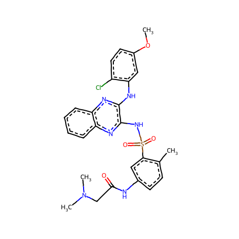 COc1ccc(Cl)c(Nc2nc3ccccc3nc2NS(=O)(=O)c2cc(NC(=O)CN(C)C)ccc2C)c1